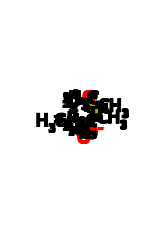 CC(C)[S+](CC(=O)C1CCCC1)C(C)C.Cc1ccc(S(=O)(=O)[O-])cc1